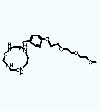 COCCOCCOCCOc1ccc(C[C@H]2CNCCNCCNCCN2)cc1